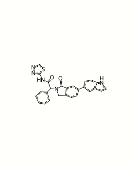 O=C(Nc1nncs1)C(c1ccccc1)N1Cc2ccc(-c3ccc4[nH]ccc4c3)cc2C1=O